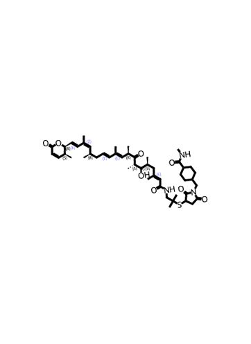 CNC(=O)C1CCC(CN2C(=O)CC(SC(C)(C)CNC(=O)/C=C(\C)C[C@H](C)[C@@H](O)[C@H](C)C(=O)[C@H](C)/C=C(C)/C=C/C[C@@H](C)/C=C(C)\C=C\[C@@H]3OC(=O)C=C[C@@H]3C)C2=O)CC1